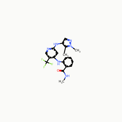 CNC(=O)c1ccccc1Nc1cc(Nc2cnn(C)c2C)ncc1C(F)(F)F